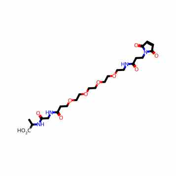 CC(NC(=O)CNC(=O)CCOCCOCCOCCOCCNC(=O)CCN1C(=O)C=CC1=O)C(=O)O